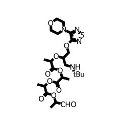 CC(C=O)OC(=O)C(C)OC(=O)C(C)OC(=O)C(C)OC(CNC(C)(C)C)COc1nsnc1N1CCOCC1